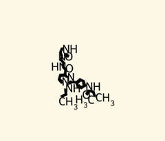 CCCCNc1c(-c2ccc(NC(=O)CC(C)C)cc2)nc2c(C(=O)NCCN3CCNC3=O)cccn12